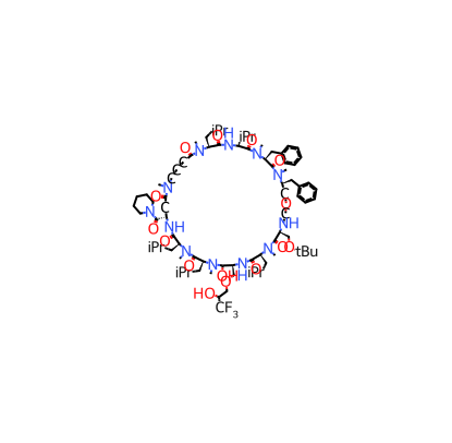 CC(C)C[C@H]1C(=O)N[C@@H](C(C)C)C(=O)N(C)[C@@H](Cc2ccccc2)C(=O)N(C)[C@@H](Cc2ccccc2)COCN[C@@H](COC(C)(C)C)C(=O)N(C)[C@@H](CC(C)C)C(=O)N[C@@H](COCC(O)C(F)(F)F)C(O)N(C)[C@@H](CC(C)C)C(=O)N(C)[C@@H](CC(C)C)C(=O)N[C@H](C(=O)N2CCCCC2)CC(=O)N(C)CCCC(=O)N1C